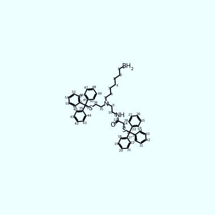 BCCCCCCCN(CCNC(=O)CSC(c1ccccc1)(c1ccccc1)c1ccccc1)CCSC(c1ccccc1)(c1ccccc1)c1ccccc1